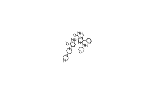 COc1cc(Nc2nc(NC3CCOCC3)c(-c3ccccc3)nc2C(N)=O)ccc1N1CCC(N2CCN(C)CC2)CC1